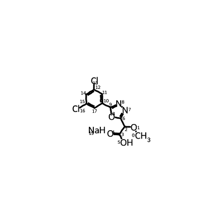 COC(C(=O)O)c1nnc(-c2cc(Cl)cc(Cl)c2)o1.[NaH]